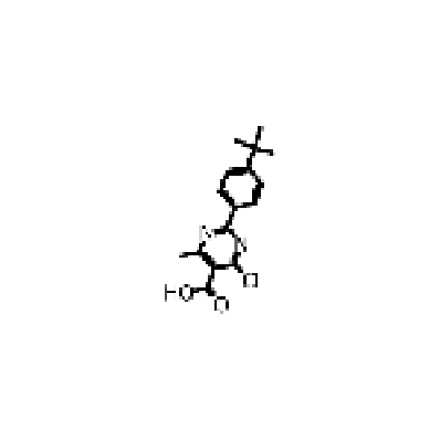 Cc1nc(-c2ccc(C(C)(C)C)cc2)nc(Cl)c1C(=O)O